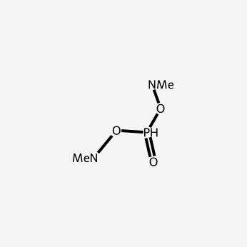 CNO[PH](=O)ONC